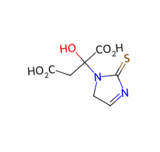 O=C(O)CC(O)(C(=O)O)N1CC=NC1=S